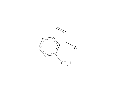 C=C[CH2][Al].O=C(O)c1ccccc1